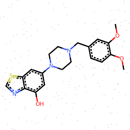 COc1ccc(CN2CCN(c3cc(O)c4ncsc4c3)CC2)cc1OC